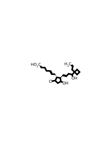 C=CCC1(C(O)CC=C[C@H]2C(O)CC(Cl)[C@@H]2CC=CCCCC(=O)O)CCC1